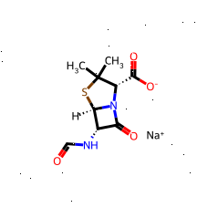 CC1(C)S[C@@H]2[C@@H](NC=O)C(=O)N2[C@H]1C(=O)[O-].[Na+]